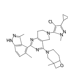 Cc1ccc2[nH]nc(C)c2c1-c1nc2c(c(N3CCC4OCC4(C)C3)n1)CN(c1c(Cl)c(C3CC3)nn1C)CC2